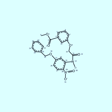 COC(=O)c1cccc(OCC(=O)N(C)c2cc(OCc3ccccc3)ccc2[N+](=O)[O-])c1